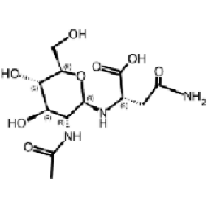 CC(=O)N[C@@H]1[C@@H](O)[C@H](O)[C@@H](CO)O[C@H]1N[C@@H](CC(N)=O)C(=O)O